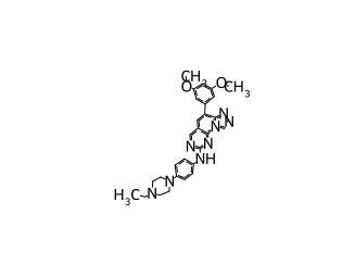 CCN1CCN(c2ccc(Nc3ncc4cc(-c5cc(OC)cc(OC)c5)c5nncn5c4n3)cc2)CC1